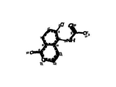 O=C(Nc1c(Cl)ccc2c(=O)occc12)C(F)(F)F